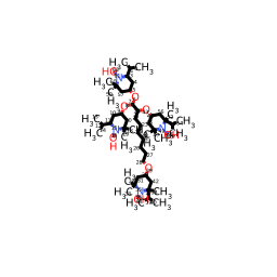 CC(C)C1CC(OC(OC2CC(C(C)C)N(O)C(C)(C)C2)C(CCCCCCCOC2CC(C)(C)N(O)C(C)(C(C)C)C2)OC2CC(C)(C)N(O)C(C)(C(C)C)C2)CC(C)(C)N1O